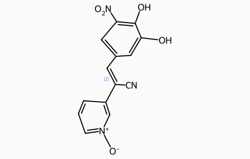 N#C/C(=C\c1cc(O)c(O)c([N+](=O)[O-])c1)c1ccc[n+]([O-])c1